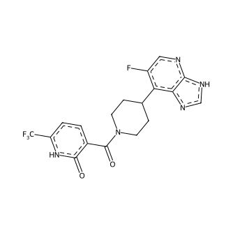 O=C(c1ccc(C(F)(F)F)[nH]c1=O)N1CCC(c2c(F)cnc3[nH]cnc23)CC1